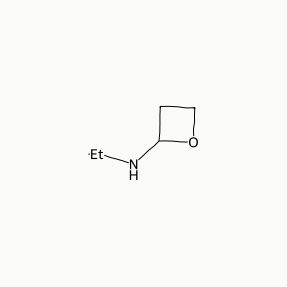 C[CH]NC1CCO1